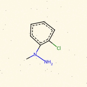 CN(N)c1ccccc1Cl